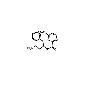 COc1cccc(C(=O)N(C)C(CCN)Cc2ccccc2)c1